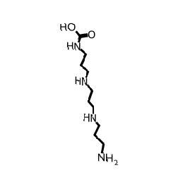 NCCCNCCCNCCCNC(=O)O